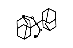 CC(C)O[Si](OC(C)C)(C12CC3CC(CC(C3)C1)C2)C12CC3CC(CC(C3)C1)C2